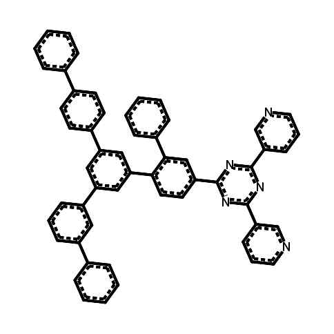 c1ccc(-c2ccc(-c3cc(-c4cccc(-c5ccccc5)c4)cc(-c4ccc(-c5nc(-c6cccnc6)nc(-c6cccnc6)n5)cc4-c4ccccc4)c3)cc2)cc1